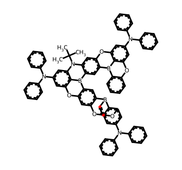 CC(C)(C)N1c2cc3c(cc2B2c4cc5c(cc4Oc4cc(N(c6ccccc6)c6ccccc6)cc1c42)Oc1cc(N(c2ccccc2)c2ccccc2)cc2c1B5c1ccccc1O2)B1c2ccccc2Oc2cc(N(c4ccccc4)c4ccccc4)cc(c21)O3